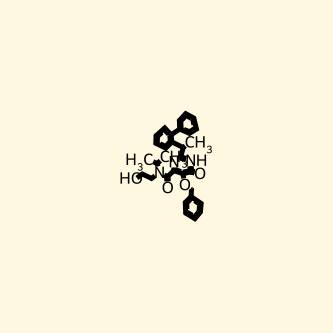 CC(c1nc(C(=O)N(CCO)C(C)C)c(OCc2ccccc2)c(=O)[nH]1)c1ccccc1-c1ccccc1